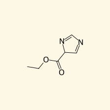 CCOC(=O)C1C=NC=N1